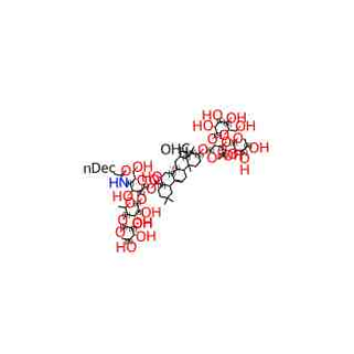 CCCCCCCCCCCC(=O)N[C@H]1C(CO)O[C@@H](OC(=O)[C@]23CCC(C)(C)CC2C2=CCC4C5(C)CC[C@H](O[C@@H]6OC[C@@H](O)[C@H](O[C@@H]7OC[C@@H](O)[C@H](O)C7O)C6O[C@@H]6OC(CO)[C@H](O)[C@H](O)C6O)[C@](C)(C=O)[C@@H]5CC[C@]4(C)[C@]2(C)CC3O)[C@H](O[C@@H]2OC(C)[C@H](O[C@@H]3OC[C@@H](O)C(O)[C@H]3O)C(O)[C@@H]2O)C1O